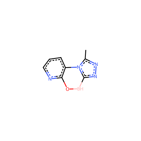 Cc1nnc2n1-c1cccnc1OB2